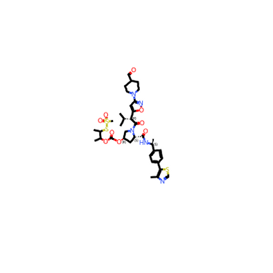 Cc1ncsc1-c1ccc([C@H](C)NC(=O)[C@@H]2C[C@@H](OC(=O)OC(C)C(C)SS(C)(=O)=O)CN2C(=O)[C@@H](c2cc(N3CCC(C=O)CC3)no2)C(C)C)cc1